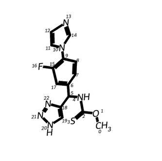 COC(=S)NC(c1ccc(-n2ccnc2)c(F)c1)c1c[nH]nn1